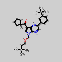 CCC1(C(=O)c2cn(COCC[Si](C)(C)C)c3ncc(-c4cccc([Si](C)(C)C)c4)nc23)CCCC1